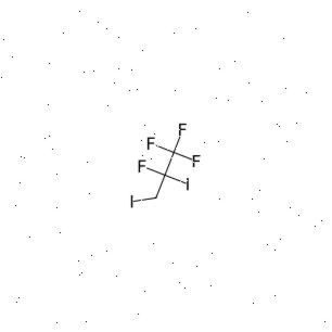 FC(F)(F)C(F)(I)CI